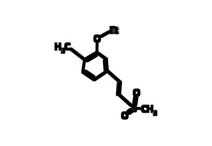 CCOc1cc(C=CS(C)(=O)=O)ccc1C